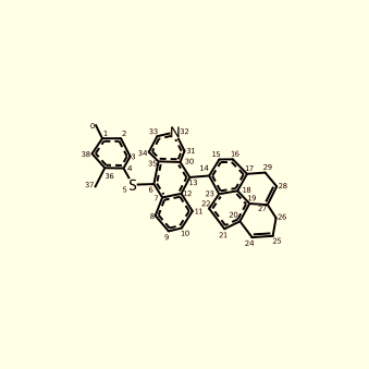 Cc1ccc(Sc2c3ccccc3c(-c3ccc4c5c6c(ccc35)C=CCC6=CC4)c3cnccc23)c(C)c1